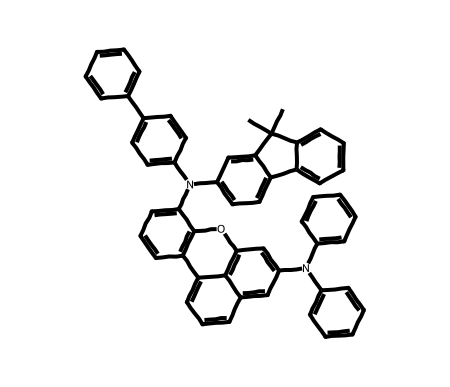 CC1(C)c2ccccc2-c2ccc(N(c3ccc(-c4ccccc4)cc3)c3cccc4c3Oc3cc(N(c5ccccc5)c5ccccc5)cc5cccc-4c35)cc21